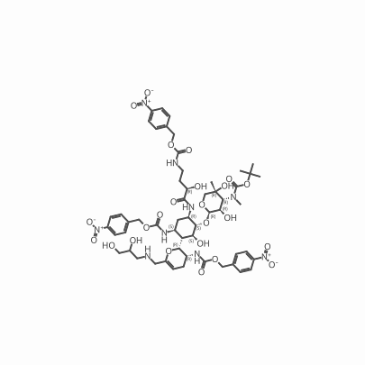 CN(C(=O)OC(C)(C)C)[C@@H]1[C@@H](O)[C@@H](O[C@H]2[C@H](NC(=O)[C@H](O)CCNC(=O)OCc3ccc([N+](=O)[O-])cc3)C[C@H](NC(=O)OCc3ccc([N+](=O)[O-])cc3)C([C@H]3OC(CNCC(O)CO)=CC[C@H]3NC(=O)OCc3ccc([N+](=O)[O-])cc3)[C@@H]2O)OC[C@]1(C)O